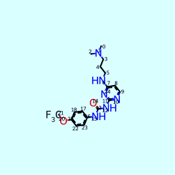 CN(C)CCCNc1ccnc(NC(=O)Nc2ccc(OC(F)(F)F)cc2)n1